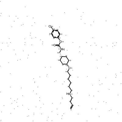 C=CCCNCCCCCCO[C@H]1CC[C@H](CNC(=O)Oc2ccc(Cl)cc2)CC1